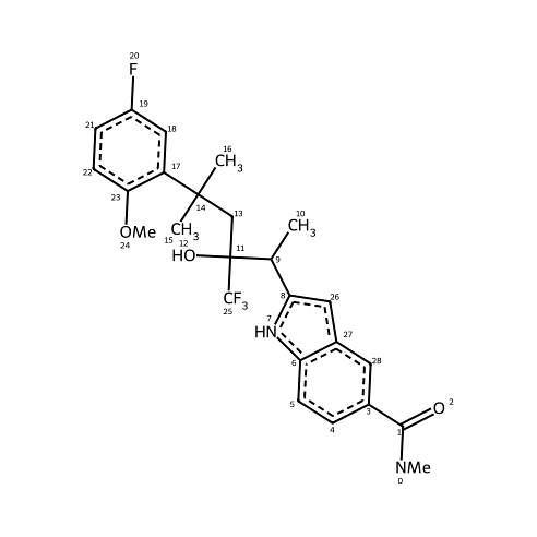 CNC(=O)c1ccc2[nH]c(C(C)C(O)(CC(C)(C)c3cc(F)ccc3OC)C(F)(F)F)cc2c1